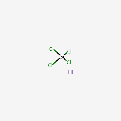 Cl[Si](Cl)(Cl)Cl.I